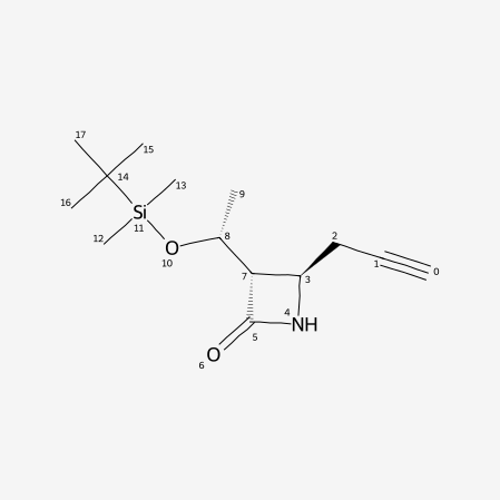 C#CC[C@H]1NC(=O)[C@@H]1[C@@H](C)O[Si](C)(C)C(C)(C)C